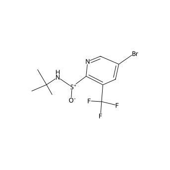 CC(C)(C)N[S+]([O-])c1ncc(Br)cc1C(F)(F)F